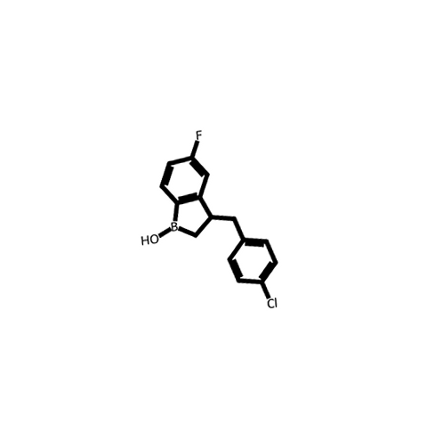 OB1CC(Cc2ccc(Cl)cc2)c2cc(F)ccc21